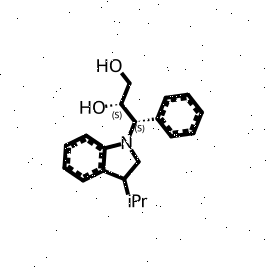 CC(C)C1CN([C@@H](c2ccccc2)[C@H](O)CO)c2ccccc21